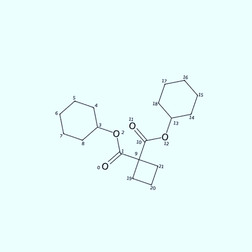 O=C(OC1CCCCC1)C1(C(=O)OC2CCCCC2)CCC1